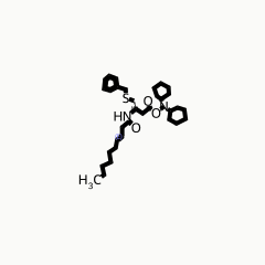 CCCCCC/C=C/CC(=O)N[C@H](CSCc1ccccc1)CC(=O)ON(C1CCCCC1)C1CCCCC1